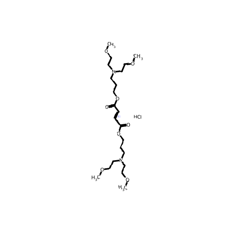 COCCN(CCCOC(=O)/C=C/C(=O)OCCCN(CCOC)CCOC)CCOC.Cl